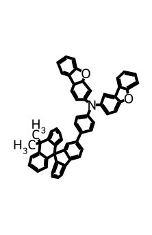 CC1(C)c2ccccc2C2(c3ccccc3-c3ccc(-c4ccc(N(C5=CC6Oc7ccccc7C6C=C5)c5ccc6oc7ccccc7c6c5)cc4)cc32)c2ccccc21